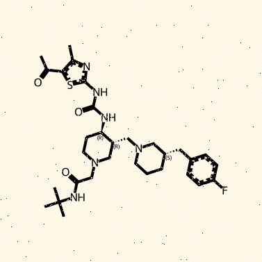 CC(=O)c1sc(NC(=O)N[C@@H]2CCN(CC(=O)NC(C)(C)C)C[C@H]2CN2CCC[C@@H](Cc3ccc(F)cc3)C2)nc1C